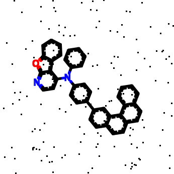 c1ccc(N(c2ccc(-c3ccc4ccc5ccc6ccccc6c5c4c3)cc2)c2ccnc3oc4ccccc4c23)cc1